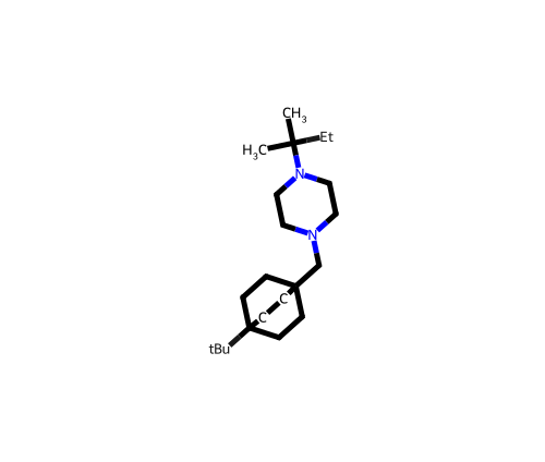 CCC(C)(C)N1CCN(CC23CCC(C(C)(C)C)(CC2)CC3)CC1